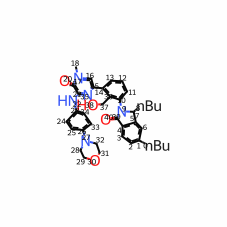 CCCCc1ccc2c(c1)C(CCCC)N(c1cccc(-c3cn(C)c(=O)c(Nc4ccc(N5CCOCC5)cc4)n3)c1CO)C2=O